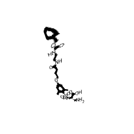 Cc1cc(OCCCC(=O)NCCNC(=O)OCc2ccccc2)cc(C)c1S(=O)(=O)N[C@@H](CN)C(=O)O